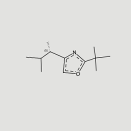 CC(C)[C@H](C)c1coc(C(C)(C)C)n1